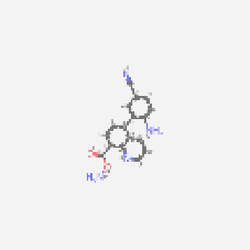 N#Cc1ccc(N)c(-c2ccc(C(=O)ON)c3ncccc23)c1